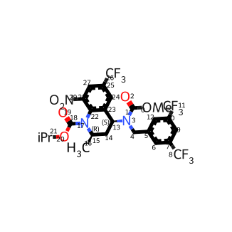 COC(=O)N(Cc1cc(C(F)(F)F)cc(C(F)(F)F)c1)[C@H]1C[C@@H](C)N(C(=O)OC(C)C)c2c1cc(C(F)(F)F)cc2[N+](=O)[O-]